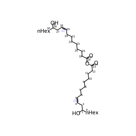 CCCCCCC(O)C/C=C\CCCCCCCC(=O)OC(=O)CCCCCCC/C=C\CC(O)CCCCCC